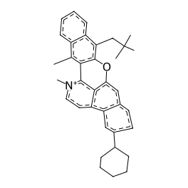 Cc1c2c(c(CC(C)(C)C)c3ccccc13)Oc1cc3ccc(C4CCCCC4)cc3c3cc[n+](C)c-2c13